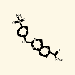 CNC(=O)c1ccc2nc(Nc3ccc(S(N)(=O)=O)cc3)ncc2c1